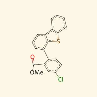 COC(=O)c1cc(Cl)ccc1-c1cccc2c1sc1ccccc12